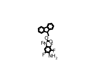 Nc1c(F)cc(N(F)C(=O)OCC2c3ccccc3-c3ccccc32)c(F)c1F